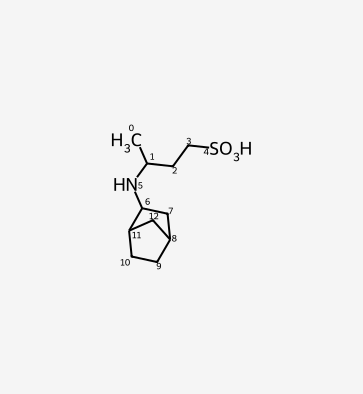 CC(CCS(=O)(=O)O)NC1CC2CCC1C2